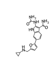 NC(=O)Nc1[nH]c2cc(-c3ccc(CNC4CC4)o3)ccc2c1C(N)=O